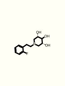 OC1[C@H](O)CN(CCc2ccccc2F)C[C@@H]1O